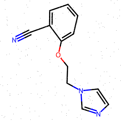 N#Cc1ccccc1OCCn1ccnc1